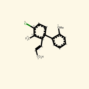 COc1ccccc1-c1c[c]c(Cl)c(C(F)(F)F)c1/C=C/C(=O)O